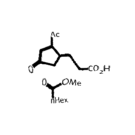 CC(=O)C1CC(=O)CC1CCC(=O)O.CCCCCCC(=O)OC